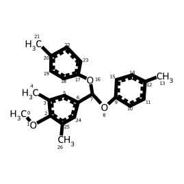 COc1c(C)cc(C(Oc2ccc(C)cc2)Oc2ccc(C)cc2)cc1C